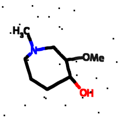 COC1CN(C)CCCC1O